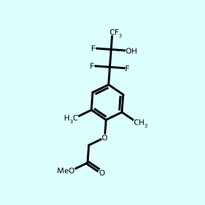 COC(=O)COc1c(C)cc(C(F)(F)C(O)(F)C(F)(F)F)cc1C